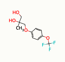 CC(O)(CO)COc1ccc(OC(F)(F)F)cc1